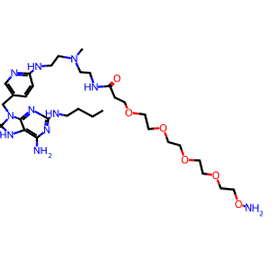 CCCCNc1nc(N)c2[nH]c(=O)n(Cc3ccc(NCCN(C)CCNC(=O)CCOCCOCCOCCOCCON)nc3)c2n1